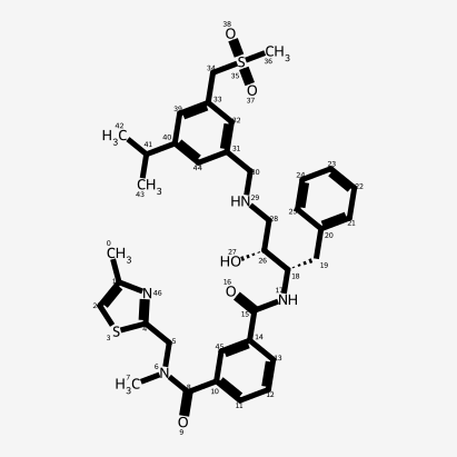 Cc1csc(CN(C)C(=O)c2cccc(C(=O)N[C@@H](Cc3ccccc3)[C@H](O)CNCc3cc(CS(C)(=O)=O)cc(C(C)C)c3)c2)n1